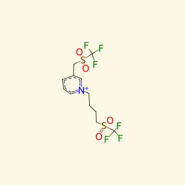 O=S(=O)(CCCC[n+]1cccc(CS(=O)(=O)C(F)(F)F)c1)C(F)(F)F